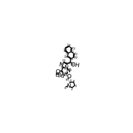 CN1CCC[C@H]1COc1nc(OC(C)(C)C)c2ncc(C(O)c3ccc4ccccc4c3)n2n1